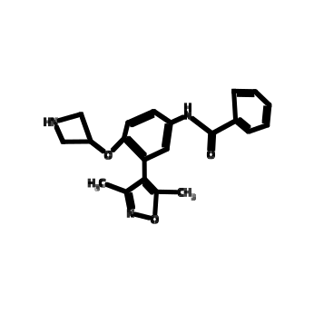 Cc1noc(C)c1-c1cc(NC(=O)c2ccccc2)ccc1OC1CNC1